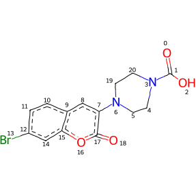 O=C(O)N1CCN(c2cc3ccc(Br)cc3oc2=O)CC1